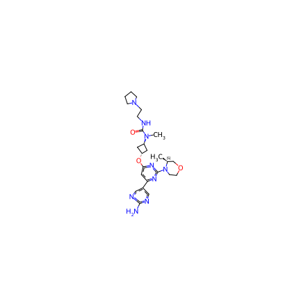 C[C@H]1COCCN1c1nc(O[C@H]2C[C@H](N(C)C(=O)NCCN3CCCC3)C2)cc(-c2cnc(N)nc2)n1